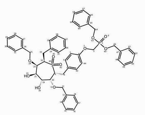 O=P(COc1ccc(C[C@@H]2[C@H](OCc3ccccc3)[C@H](O)[C@@H](O)[C@@H](OCc3ccccc3)[C@@H](Cc3ccccc3)S2(=O)=O)cc1)(OCc1ccccc1)OCc1ccccc1